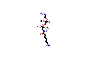 CC(C)(CNC(=O)CCCCCN)OCC(C)(C)OCCN